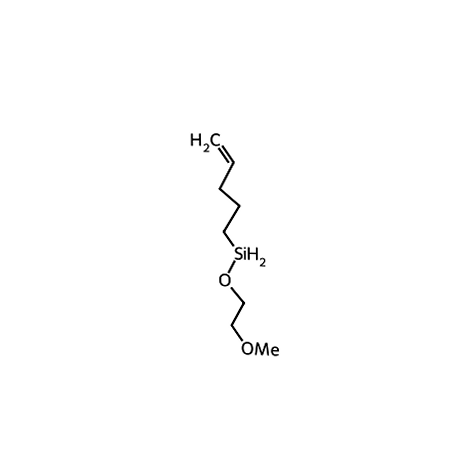 C=CCCC[SiH2]OCCOC